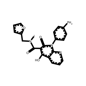 O=C(c1c(O)c2cccnc2n(-c2ccc(P)cc2)c1=O)N(I)Cc1ccco1